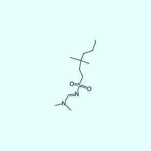 CN(C)C=NS(=O)(=O)CCC(C)(C)CCI